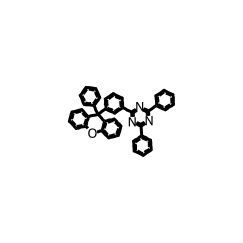 c1ccc(-c2nc(-c3ccccc3)nc(-c3cccc(C4(c5ccccc5)c5ccccc5Oc5ccccc54)c3)n2)cc1